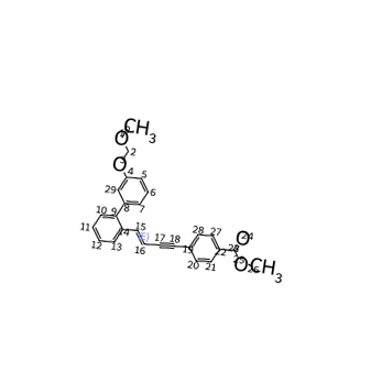 COCOc1cccc(-c2ccccc2/C=C/C#Cc2ccc(C(=O)OC)cc2)c1